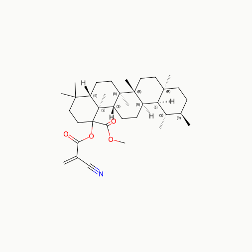 C=C(C#N)C(=O)OC1(C(=O)OC)CCC(C)(C)[C@@H]2CC[C@]3(C)[C@H](CC[C@@H]4[C@@H]5[C@@H](C)[C@H](C)CC[C@]5(C)CC[C@]43C)[C@]21C